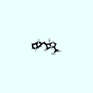 O=C(O)C1CS[C@@H]2C(=Cc3cc4sccc4o3)C(=O)N12